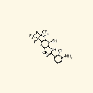 Nc1cccc(C(=O)Nc2c(S)cc(C(F)(C(F)(F)F)C(F)(F)C(F)(F)F)cc2C(F)(F)F)c1Cl